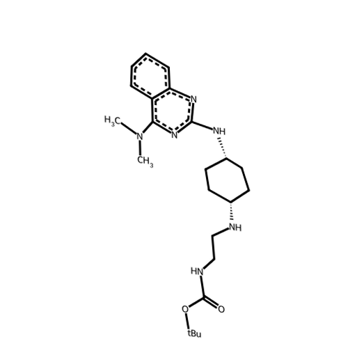 CN(C)c1nc(N[C@H]2CC[C@@H](NCCNC(=O)OC(C)(C)C)CC2)nc2ccccc12